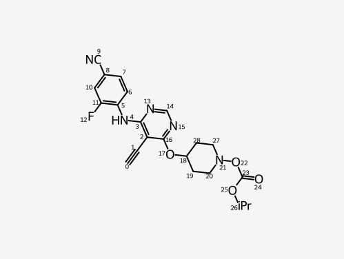 C#Cc1c(Nc2ccc(C#N)cc2F)ncnc1OC1CCN(OC(=O)OC(C)C)CC1